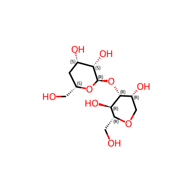 OC[C@@H]1C[C@H](O)[C@H](O)[C@@H](O[C@H]2[C@H](O)[C@@H](CO)OC[C@H]2O)O1